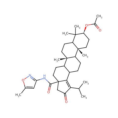 CC(=O)O[C@H]1CC[C@@]2(C)C(CC[C@@]3(C)C4CCC5(C(=O)Nc6cc(C)on6)CC(=O)C(C(C)C)=C5C4CCC32)C1(C)C